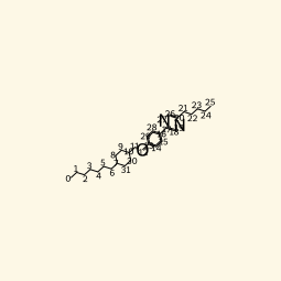 CCCCCCCC1CCC(COc2ccc(-c3cnc(CCCCC)cn3)cc2)CC1